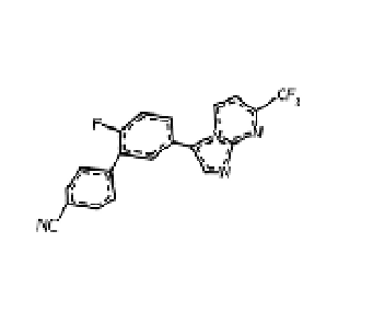 N#Cc1ccc(-c2cc(-c3cnc4nc(C(F)(F)F)ccn34)ccc2F)cc1